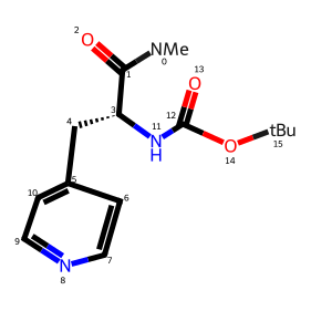 CNC(=O)[C@@H](Cc1ccncc1)NC(=O)OC(C)(C)C